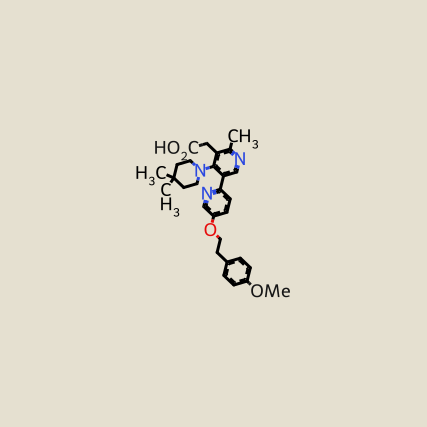 COc1ccc(CCOc2ccc(-c3cnc(C)c(CC(=O)O)c3N3CCC(C)(C)CC3)nc2)cc1